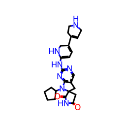 O=C1CC2(Cc3cnc(NC4=CC=C(C5=CCNCC5)CN4)nc3N2C2CCCC2)C(=O)N1